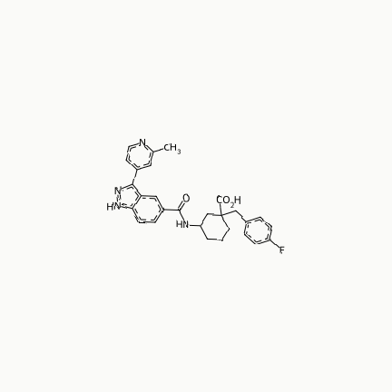 Cc1cc(-c2n[nH]c3ccc(C(=O)NC4CCCC(Cc5ccc(F)cc5)(C(=O)O)C4)cc23)ccn1